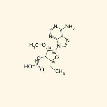 CC[C@H]1O[C@@H](n2cnc3c(N)ncnc32)[C@@H](OC)C1O[PH](=O)O